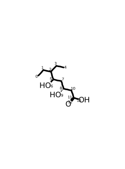 CCC(CC)C(O)C[C@@H](O)CC(=O)O